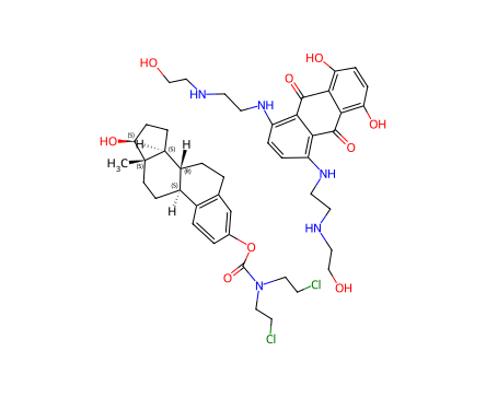 C[C@]12CC[C@@H]3c4ccc(OC(=O)N(CCCl)CCCl)cc4CC[C@H]3[C@@H]1CC[C@@H]2O.O=C1c2c(O)ccc(O)c2C(=O)c2c(NCCNCCO)ccc(NCCNCCO)c21